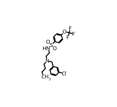 CCCCN(CCNS(=O)(=O)c1ccc(OC(F)(F)F)cc1)Cc1cccc(Cl)c1